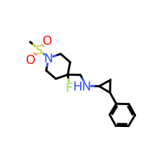 CS(=O)(=O)N1CCC(F)(CNC2CC2c2ccccc2)CC1